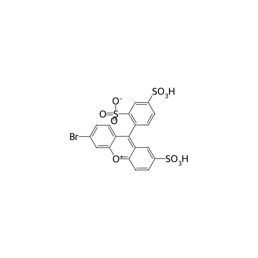 O=S(=O)([O-])c1cc(S(=O)(=O)O)ccc1-c1c2ccc(Br)cc2[o+]c2ccc(S(=O)(=O)O)cc12